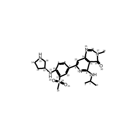 CC(C)Nc1nc(-c2ccc(N[C@H]3CCNC3)c(S(C)(=O)=O)c2)cc2ncn(C)c(=O)c12